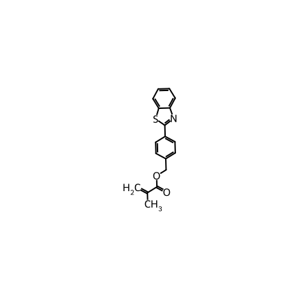 C=C(C)C(=O)OCc1ccc(-c2nc3ccccc3s2)cc1